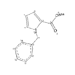 COC(=O)C1=CC=C[SH]1Cc1ccccc1